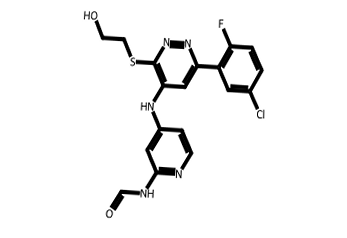 O=CNc1cc(Nc2cc(-c3cc(Cl)ccc3F)nnc2SCCO)ccn1